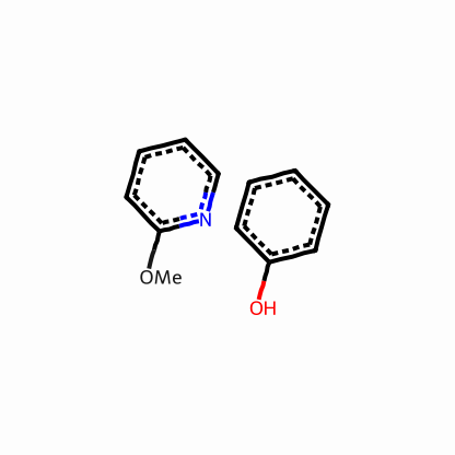 COc1ccccn1.Oc1ccccc1